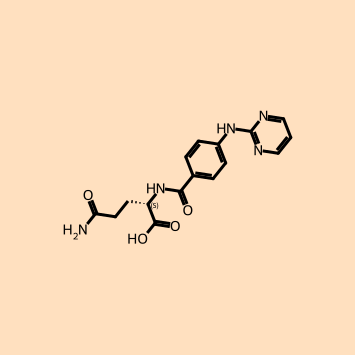 NC(=O)CC[C@H](NC(=O)c1ccc(Nc2ncccn2)cc1)C(=O)O